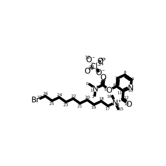 CN(C)C(=O)Oc1cccnc1C(=O)[N+](C)(C)CCCCCCCCCCBr.[O-][Cl+3]([O-])([O-])[O-]